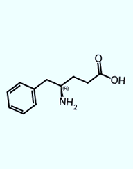 N[C@H](CCC(=O)O)Cc1ccccc1